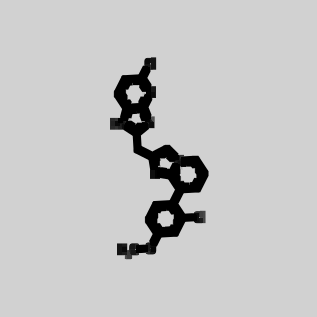 COc1ccc(-c2cccn3cc(Cc4nc5nc(Cl)ccc5[nH]4)nc23)c(Cl)c1